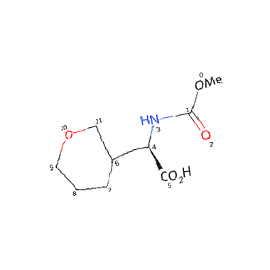 COC(=O)N[C@@H](C(=O)O)C1CCCOC1